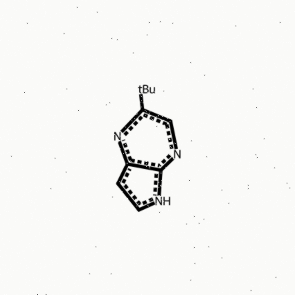 CC(C)(C)c1cnc2[nH]ccc2n1